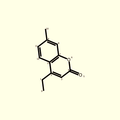 CCc1cc(=O)oc2cc(C)ccc12